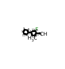 C#Cc1c(C)cc(-c2ccccc2)cc1F